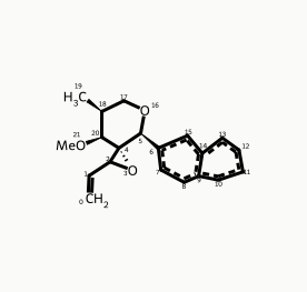 C=CC1O[C@]12[C@H](c1ccc3ccccc3c1)OC[C@H](C)[C@@H]2OC